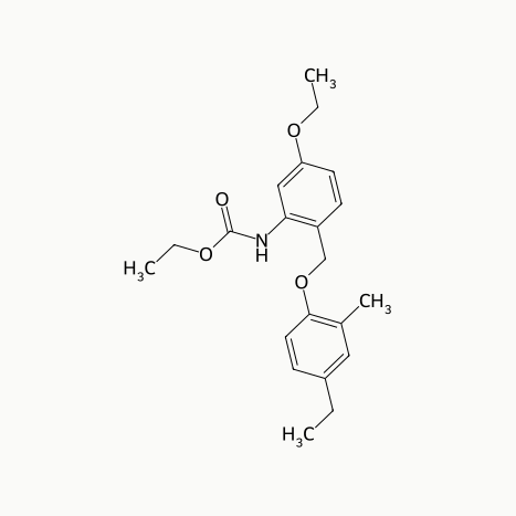 CCOC(=O)Nc1cc(OCC)ccc1COc1ccc(CC)cc1C